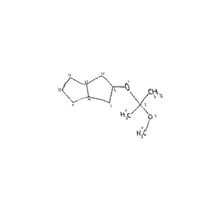 COC(C)(C)OC1CC2CCCC2C1